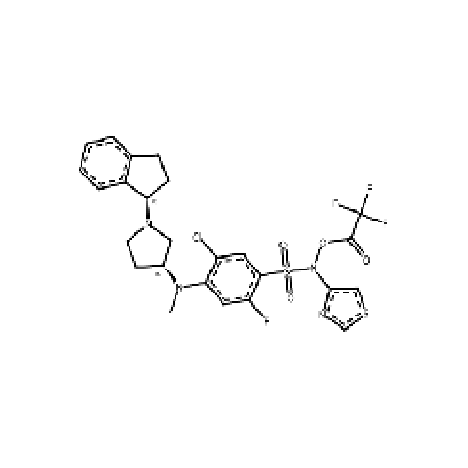 CN(c1cc(F)c(S(=O)(=O)N(OC(=O)C(F)(F)F)c2cscn2)cc1Cl)[C@H]1CCN([C@@H]2CCc3ccccc32)C1